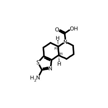 Nc1nc2c(s1)CC[C@@H]1[C@H]2CCCN1C(=O)O